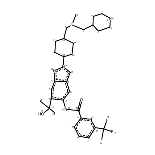 CN(CC1CCNCC1)CC1CCC(n2cc3cc(NC(=O)c4cccc(C(F)(F)F)n4)c(C(C)(C)O)cc3n2)CC1